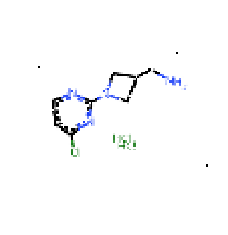 Cl.Cl.NCC1CN(c2nccc(Cl)n2)C1